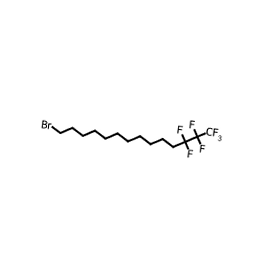 FC(F)(F)C(F)(F)C(F)(F)CCCCCCCCCCCBr